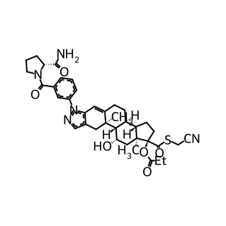 CCC(=O)O[C@]1(C(=O)SCC#N)CC[C@H]2[C@@H]3CCC4=Cc5c(cnn5-c5cccc(C(=O)N6CCC[C@@H]6C(N)=O)c5)C[C@]4(C)[C@H]3[C@@H](O)C[C@@]21C